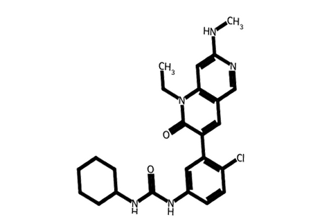 CCn1c(=O)c(-c2cc(NC(=O)NC3CCCCC3)ccc2Cl)cc2cnc(NC)cc21